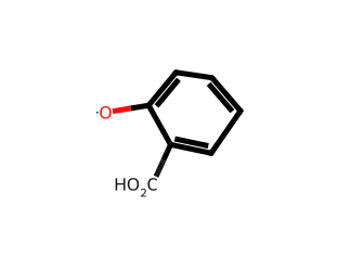 [O]c1ccccc1C(=O)O